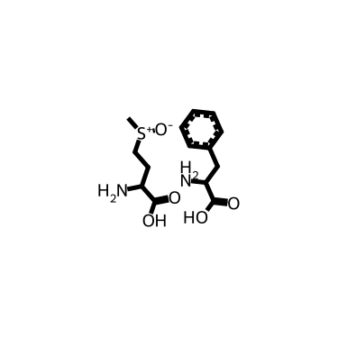 C[S+]([O-])CCC(N)C(=O)O.NC(Cc1ccccc1)C(=O)O